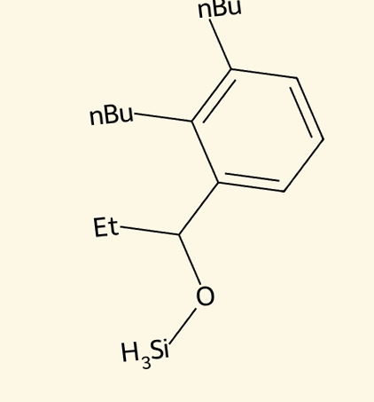 CCCCc1cccc(C(CC)O[SiH3])c1CCCC